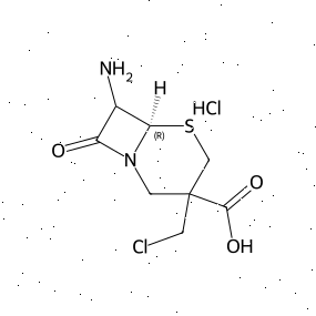 Cl.NC1C(=O)N2CC(CCl)(C(=O)O)CS[C@H]12